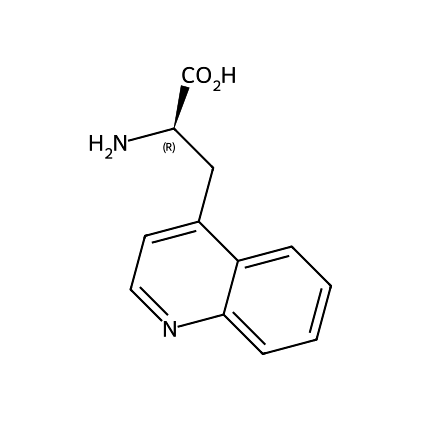 N[C@H](Cc1ccnc2ccccc12)C(=O)O